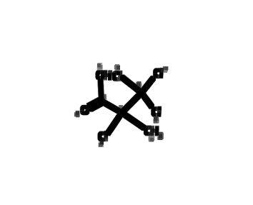 CC(Cl)(C(=O)O)C(Cl)(Cl)Cl